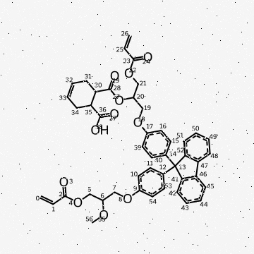 C=CC(=O)OCC(COc1ccc(C2(c3ccc(OCC(COC(=O)C=C)OC(=O)C4CC=CCC4C(=O)O)cc3)c3ccccc3-c3ccccc32)cc1)OC